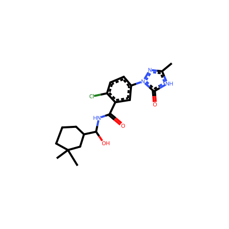 Cc1nn(-c2ccc(Cl)c(C(=O)NC(O)C3CCCC(C)(C)C3)c2)c(=O)[nH]1